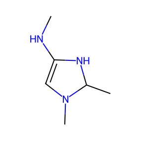 CNC1=CN(C)C(C)N1